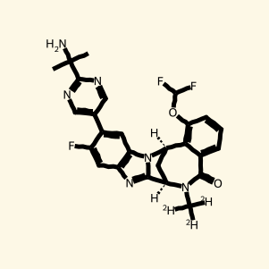 [2H]C([2H])([2H])N1C(=O)c2cccc(OC(F)F)c2[C@H]2C[C@@H]1c1nc3cc(F)c(-c4cnc(C(C)(C)N)nc4)cc3n12